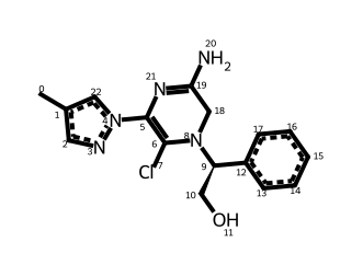 Cc1cnn(C2=C(Cl)N([C@H](CO)c3ccccc3)CC(N)=N2)c1